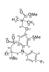 CCCCC1(CC)CN(c2ccc(F)cc2)c2cc(SC)c(OCC(C)(C)C(=O)OC)cc2S(=O)(=O)C1